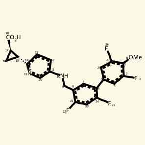 COc1c(F)cc(-c2cc(CNc3ccc([C@@H]4C[C@H]4C(=O)O)nc3)c(F)cc2F)cc1F